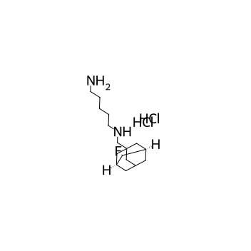 Cl.Cl.NCCCCCNCC12CC3C[C@H](C1)C(F)[C@@H](C3)C2